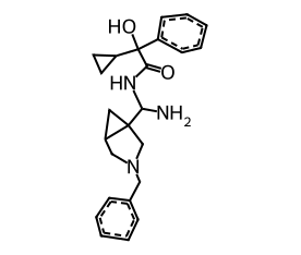 NC(NC(=O)C(O)(c1ccccc1)C1CC1)C12CC1CN(Cc1ccccc1)C2